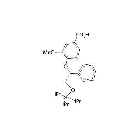 COc1cc(C(=O)O)ccc1O[C@@H](CO[Si](C(C)C)(C(C)C)C(C)C)c1ccccc1